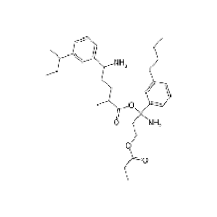 CCCCc1cccc(C(N)(CCOC(=O)CC)OC(=O)C(C)CCC(N)c2cccc(C(C)CC)c2)c1